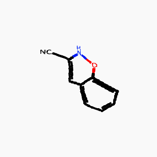 N#CC1=Cc2ccccc2ON1